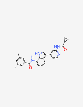 Cc1cc(C)cc(C(=O)Nc2cccc3c(-c4ccnc(NC(=O)C5CC5)c4)c[nH]c23)c1